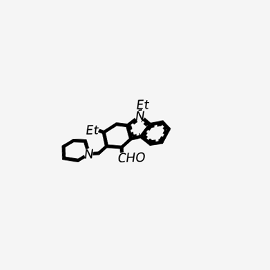 CCC1Cc2c(c3ccccc3n2CC)C(C=O)C1CN1CCCCC1